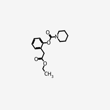 CCOC(=O)Cc1ccccc1OC(=O)N1CCCCC1